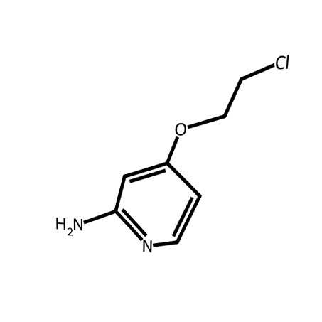 Nc1cc(OCCCl)ccn1